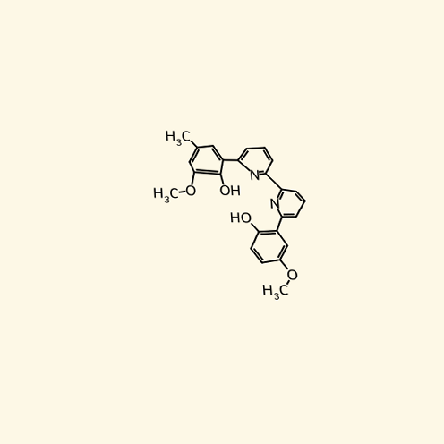 COc1ccc(O)c(-c2cccc(-c3cccc(-c4cc(C)cc(OC)c4O)n3)n2)c1